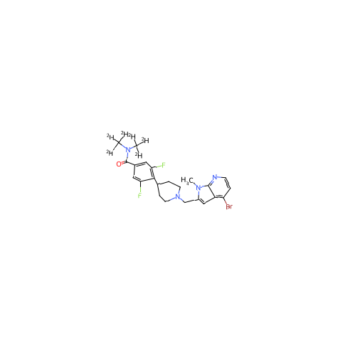 [2H]C([2H])([2H])N(C(=O)c1cc(F)c(C2CCN(Cc3cc4c(Br)ccnc4n3C)CC2)c(F)c1)C([2H])([2H])[2H]